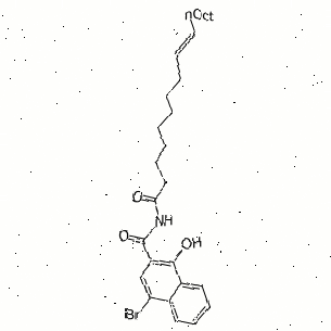 CCCCCCCCC=CCCCCCCCC(=O)NC(=O)c1cc(Br)c2ccccc2c1O